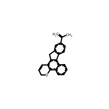 C=C(C)c1ccc2c(c1)Cc1c3c(c4ccccc4c1-2)OCC=C3